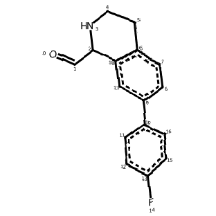 O=CC1NCCc2ccc(-c3ccc(F)cc3)cc21